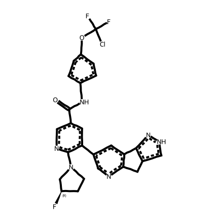 O=C(Nc1ccc(OC(F)(F)Cl)cc1)c1cnc(N2CC[C@@H](F)C2)c(-c2cnc3c(c2)-c2n[nH]cc2C3)c1